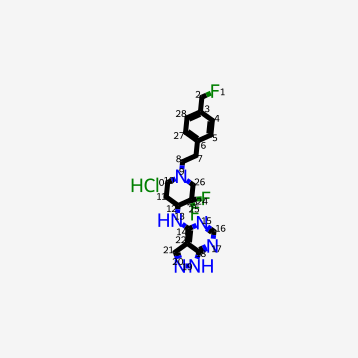 Cl.FCc1ccc(CCN2CCC(Nc3ncnc4[nH]ncc34)C(F)(F)C2)cc1